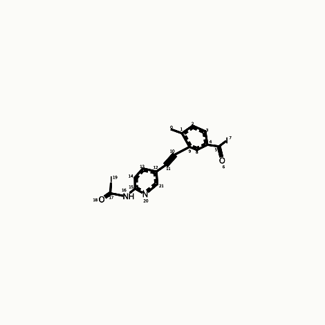 Cc1ccc(C(=O)I)cc1C#Cc1ccc(NC(=O)I)nc1